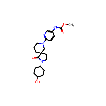 COC(=O)Nc1ccc(N2CCC[C@]3(CCN([C@H]4CC[C@H](O)CC4)C3=O)C2)nc1